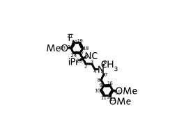 [C-]#[N+]C(CCCN(C)CCc1ccc(OC)c(OC)c1)(c1ccc(F)c(OC)c1)C(C)C